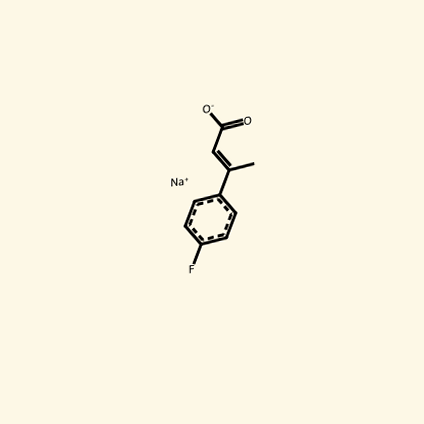 CC(=CC(=O)[O-])c1ccc(F)cc1.[Na+]